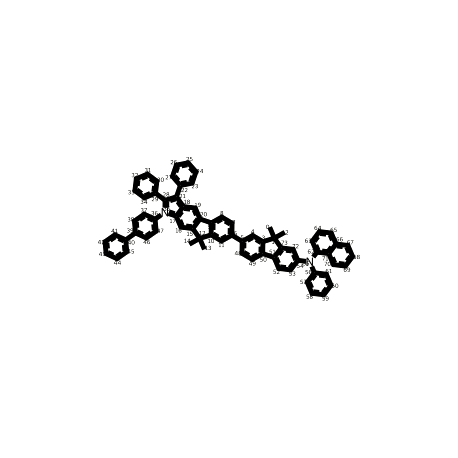 CC1(C)c2cc(-c3ccc4c(c3)C(C)(C)c3cc5c(cc3-4)c(-c3ccccc3)c(-c3ccccc3)n5-c3ccc(-c4ccccc4)cc3)ccc2-c2ccc(N(c3ccccc3)c3cccc4ccccc34)cc21